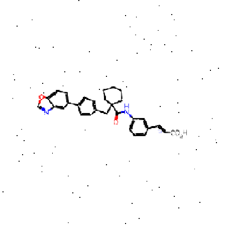 O=C(O)/C=C/c1cccc(NC(=O)C2(Cc3ccc(-c4ccc5ocnc5c4)cc3)CCCCC2)c1